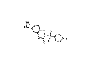 CCc1ccc(S(=O)(=O)c2cc3ccc(NN)cc3oc2=O)cc1